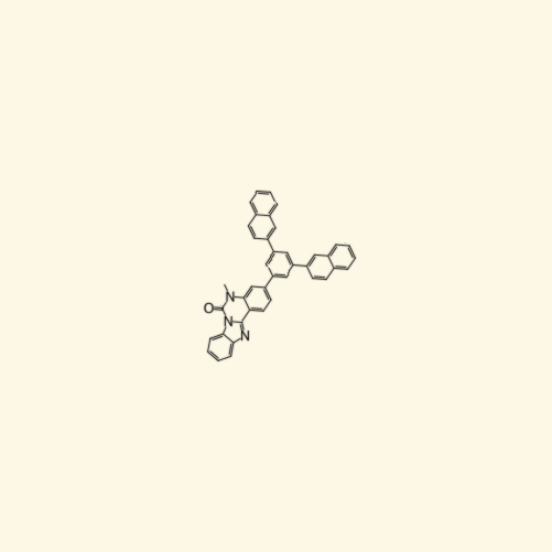 Cn1c(=O)n2c3ccccc3nc2c2ccc(-c3cc(-c4ccc5ccccc5c4)cc(-c4ccc5ccccc5c4)c3)cc21